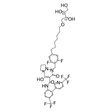 C[C@]12CCCN1N(Cc1c(F)cc(CCCCCCCOC[C@H](O)[C@@H](O)CO)cc1F)C(=O)C(C(=O)Nc1ccc(C(F)(F)F)cc1-c1ccc(C(F)(F)F)nc1)=C2O